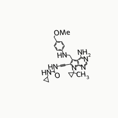 COCc1ccc(NCc2c(C#CNC(=O)NC3CC3)n(C3(C)CC3)c3ncnc(N)c23)cc1